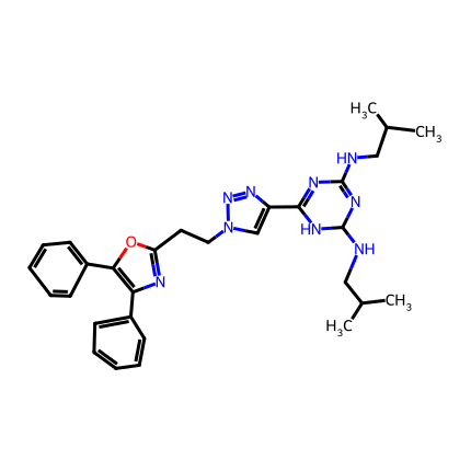 CC(C)CNC1=NC(NCC(C)C)NC(c2cn(CCc3nc(-c4ccccc4)c(-c4ccccc4)o3)nn2)=N1